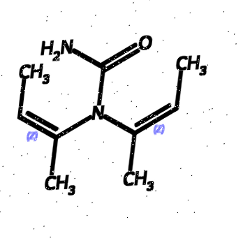 C/C=C(/C)N(C(N)=O)/C(C)=C\C